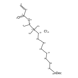 C=CC(=O)OC(C)[N+](C)(C)CCCCCCCCCCCCCCCCCC.[Cl-]